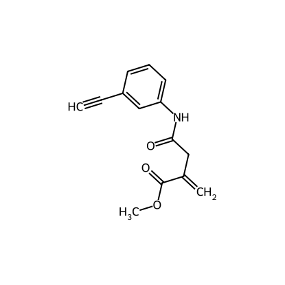 C#Cc1cccc(NC(=O)CC(=C)C(=O)OC)c1